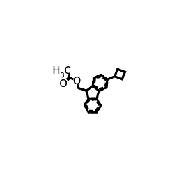 CC(=O)OCC1c2ccccc2-c2cc(C3CCC3)ccc21